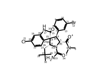 CN(C)C(=O)[C@H]1[C@H](c2cccc(Br)c2)[C@@]2(C(=O)Nc3cc(Cl)ccc32)[C@@H](CC(C)(C)C)N1C(N)=O